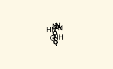 Cc1ccc(C(=O)N[C@H]2CC[C@@H](Nc3cc(N(C)C)nc(C)n3)CC2)cc1